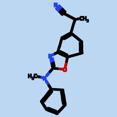 CC(C#N)c1ccc2oc(N(C)c3ccccc3)nc2c1